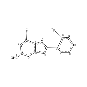 O=Cc1cc(F)c2oc(-c3ccccc3F)cc2c1